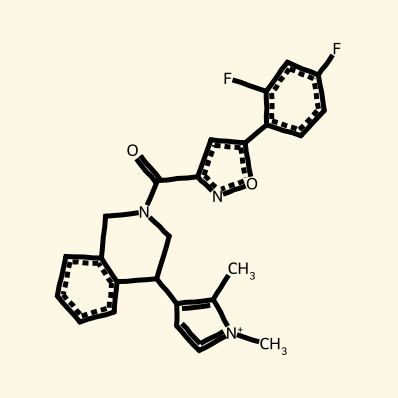 CC1=C(C2CN(C(=O)c3cc(-c4ccc(F)cc4F)on3)Cc3ccccc32)C=C=[N+]1C